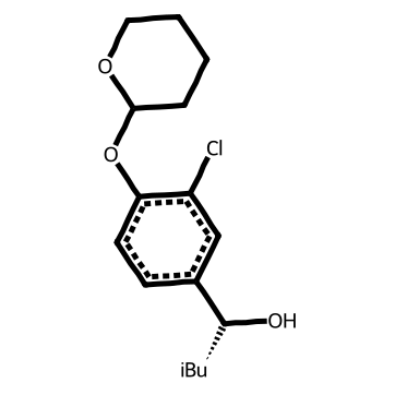 CC[C@@H](C)C(O)c1ccc(OC2CCCCO2)c(Cl)c1